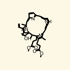 C=CC1=C(C)C2(C(C)O)NC1(C)/C=C1/C=CC(=N1)/C=c1/cc/c([nH]1)=C/C1=NC(CCC(=O)OC)(C(CCC(=O)OC)=C1C)C2C